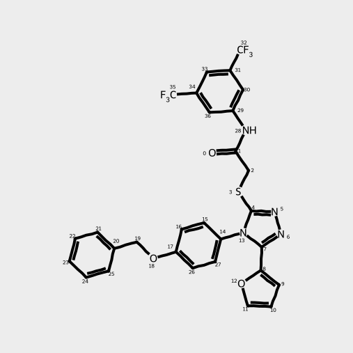 O=C(CSc1nnc(-c2ccco2)n1-c1ccc(OCc2ccccc2)cc1)Nc1cc(C(F)(F)F)cc(C(F)(F)F)c1